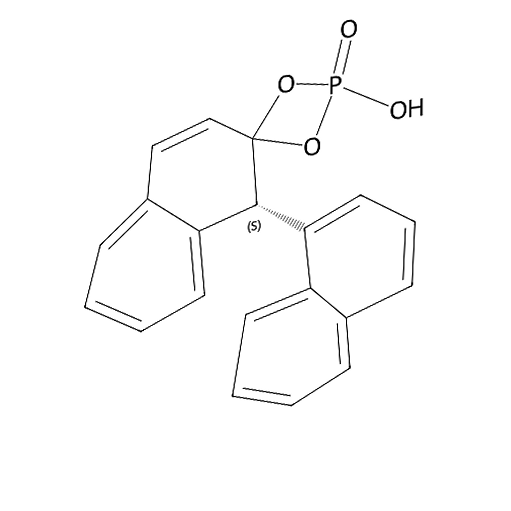 O=P1(O)OC2(C=Cc3ccccc3[C@H]2c2cccc3ccccc23)O1